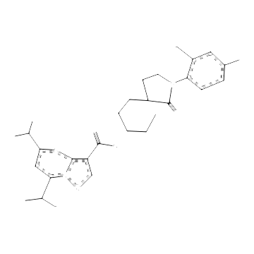 O=C(N[C@H]1CC[C@@]2(CCN(c3ccc(F)cc3Cl)C2=O)CC1)c1cnn2c(C(F)F)cc(C(F)F)nc12